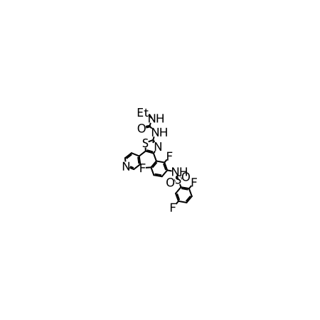 CCNC(=O)Nc1nc(-c2c(F)ccc(NS(=O)(=O)c3cc(F)ccc3F)c2F)c(-c2ccncc2)s1